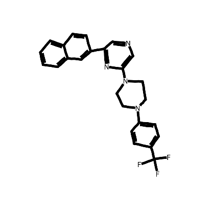 FC(F)(F)c1ccc(N2CCN(c3cncc(-c4ccc5ccccc5c4)n3)CC2)cc1